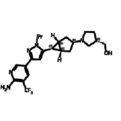 CC(C)n1nc(-c2cnc(N)c(C(F)(F)F)c2)cc1[C@H]1[C@@H]2C[C@@H](N3CC[C@H](CO)C3)C[C@@H]21